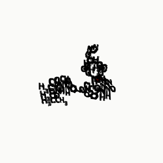 CC(C)[C@H](NC(=O)OC(C)(C)C)C(=O)N[C@@H](C)C(=O)Nc1ccc(COC(=O)N(C)Cc2ccccc2C(=O)Nc2nc3c(ncn3[C@@H]3O[C@@H]4CO[PH](=O)O[C@H]5C[C@H](Oc6ccncn6)C[C@@H]5CO[PH](=O)O[C@@H]3[C@@H]4O)c(=O)[nH]2)cc1